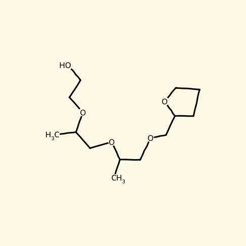 CC(COCC1CCCO1)OCC(C)OCCO